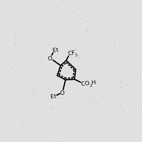 CCOc1cc(OCC)c(C(F)(F)F)cc1C(=O)O